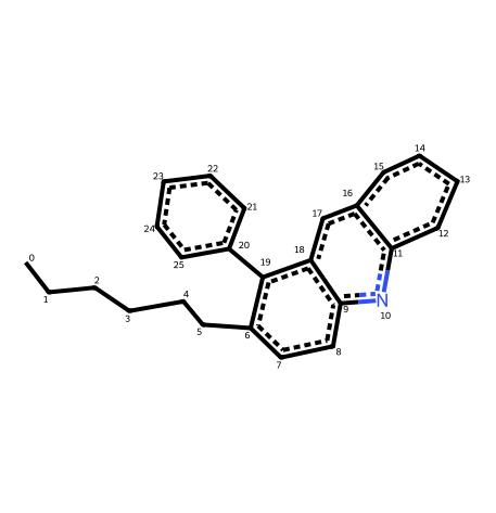 CCCCCCc1ccc2nc3ccccc3cc2c1-c1ccccc1